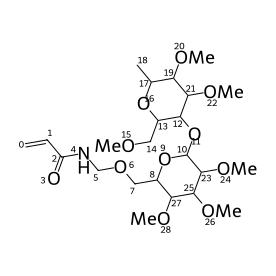 C=CC(=O)NCOCC1OC(OC2C(COC)OC(C)C(OC)C2OC)C(OC)C(OC)C1OC